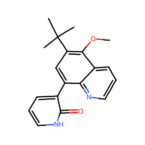 COc1c(C(C)(C)C)cc(-c2ccc[nH]c2=O)c2ncccc12